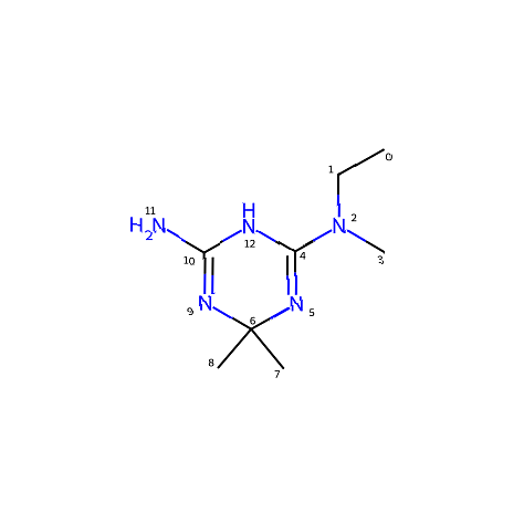 CCN(C)C1=NC(C)(C)N=C(N)N1